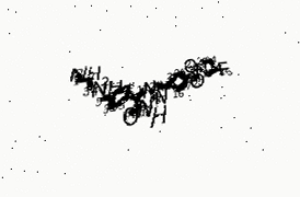 NCCCNCc1ccc(-c2cn3cc(-c4ccc(S(=O)(=O)N5CC[C@@H](F)C5)cc4)[nH]c3nc2=O)cc1